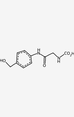 O=C(O)NCC(=O)Nc1ccc(CO)cc1